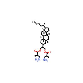 C=C(CN)C(=O)OCC(COC(=O)C(=C)CN)C1CC[C@@]2(C)[C@@H](CC[C@@H]3[C@@H]2CC[C@]2(C)C([C@H](C)CCCC(C)C)CC[C@@H]32)C1